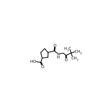 CC(C)(C)C(=O)CNC(=O)C1CCC(C(=O)O)C1